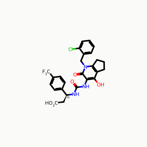 O=C(O)C[C@H](NC(=O)Nc1c(O)c2c(n(Cc3ccccc3Cl)c1=O)CCC2)c1ccc(C(F)(F)F)cc1